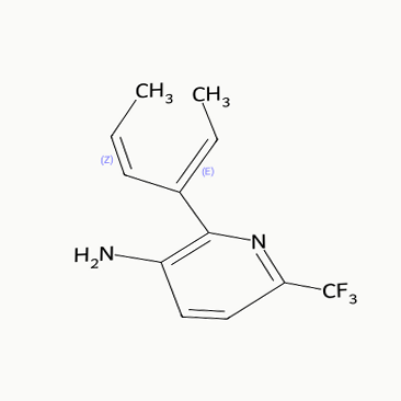 C/C=C\C(=C/C)c1nc(C(F)(F)F)ccc1N